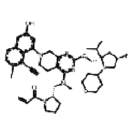 C#Cc1c(F)ccc2cc(O)cc(N3CCc4c(nc(OC[C@]5(C(C)C)C[C@@H](F)CN5C5CCOCC5)nc4N(C)C[C@@H]4CCCN4C(=O)C=C)C3)c12